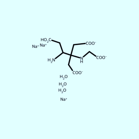 NC(CC(=O)O)C(CC(=O)[O-])(CC(=O)[O-])NCC(=O)[O-].O.O.O.[Na+].[Na+].[Na+]